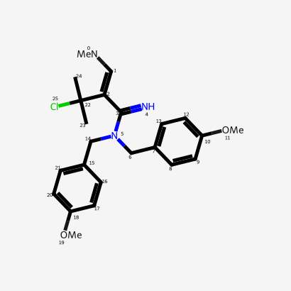 CN/C=C(/C(=N)N(Cc1ccc(OC)cc1)Cc1ccc(OC)cc1)C(C)(C)Cl